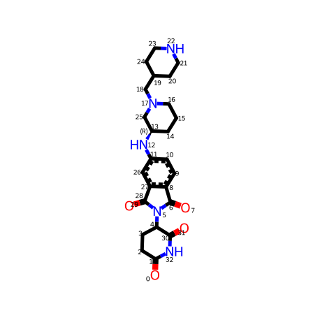 O=C1CCC(N2C(=O)c3ccc(N[C@@H]4CCCN(CC5CCNCC5)C4)cc3C2=O)C(=O)N1